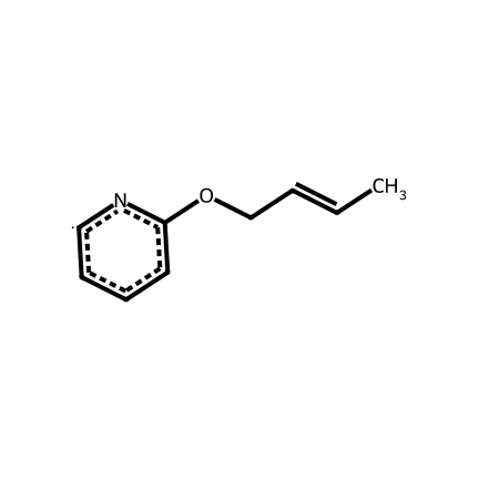 CC=CCOc1ccc[c]n1